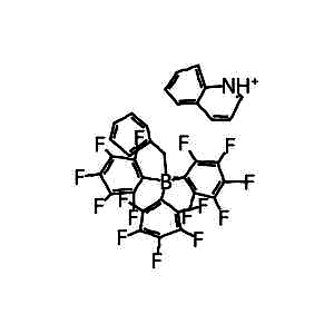 Fc1c(F)c(F)c([B-](Cc2ccccc2)(c2c(F)c(F)c(F)c(F)c2F)c2c(F)c(F)c(F)c(F)c2F)c(F)c1F.c1ccc2[nH+]cccc2c1